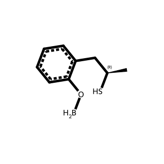 BOc1ccccc1C[C@@H](C)S